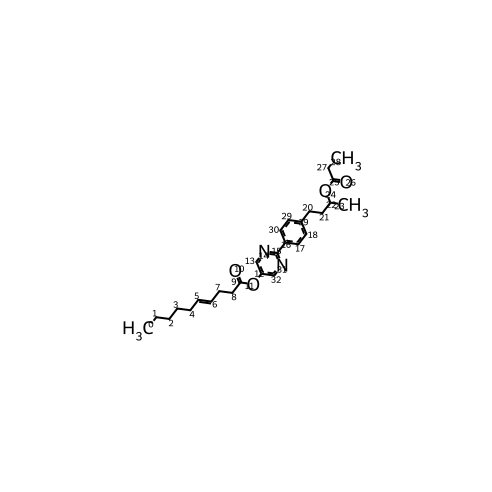 CCCCC/C=C/CCC(=O)Oc1cnc(-c2ccc(CCC(C)OC(=O)CC)cc2)nc1